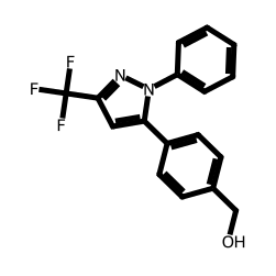 OCc1ccc(-c2cc(C(F)(F)F)nn2-c2ccccc2)cc1